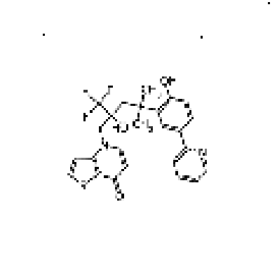 CC(C)(CC(O)(Cn1ccc(=O)c2sccc21)C(F)(F)F)c1cc(-c2ccccn2)ccc1O